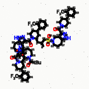 CC(CC1CC(c2ccccc2C(F)(F)F)CCN1C(=O)c1n[nH]c2c1CN(C(C)(C)CC1CC(c3ccccc3C(F)(F)F)CCN1C(=O)c1n[nH]c3c1CN(C(=O)C(C)(C)C)CCC3)CCC2)CS(=O)(=O)N1CCCc2[nH]nc(C(=O)N3CCC(c4ccccc4C(F)(F)F)CC3)c2C1